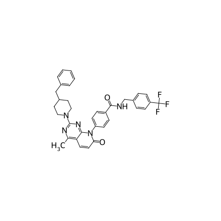 Cc1nc(N2CCC(Cc3ccccc3)CC2)nc2c1ccc(=O)n2-c1ccc(C(=O)NCc2ccc(C(F)(F)F)cc2)cc1